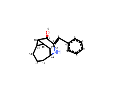 O=C1C(=Cc2ccccc2)NC2CCCC3C(C2)C13